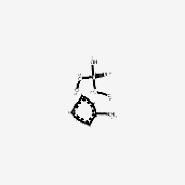 Cc1ccccc1.OP(=S)(OCl)OCl